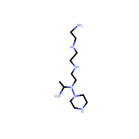 CC(N)N(CCNCCNCCN)N1CCNCC1